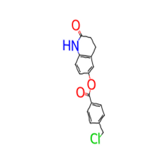 O=C1CCc2cc(OC(=O)c3ccc(CCl)cc3)ccc2N1